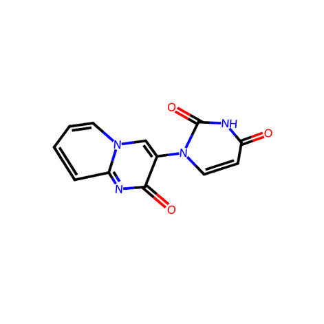 O=c1ccn(-c2cn3ccccc3nc2=O)c(=O)[nH]1